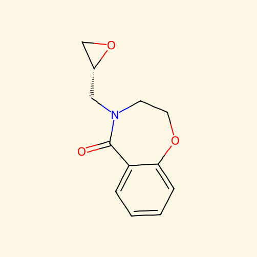 O=C1c2ccccc2OCCN1C[C@@H]1CO1